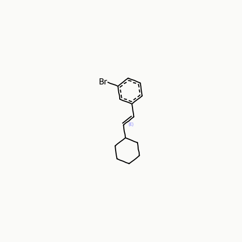 Brc1cccc(/C=C/C2CCCCC2)c1